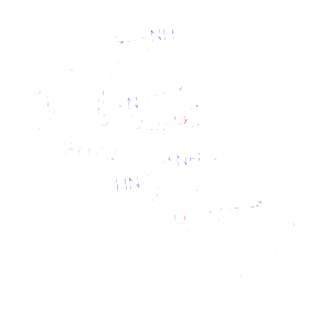 Cc1ccc(CCCCC2CNCCN2C2(c3ccccc3)C(=O)NC(=O)NC2=O)cc1